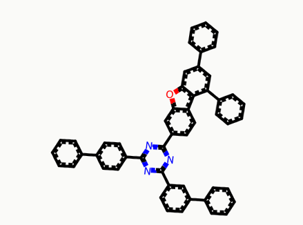 c1ccc(-c2ccc(-c3nc(-c4cccc(-c5ccccc5)c4)nc(-c4ccc5c(c4)oc4cc(-c6ccccc6)cc(-c6ccccc6)c45)n3)cc2)cc1